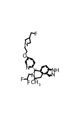 C[C@@H]1Cc2c(ccc3[nH]ncc23)[C@@H](c2ccc(OCCN3CC(CF)C3)cn2)N1CC(F)F